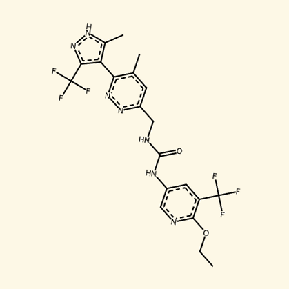 CCOc1ncc(NC(=O)NCc2cc(C)c(-c3c(C(F)(F)F)n[nH]c3C)nn2)cc1C(F)(F)F